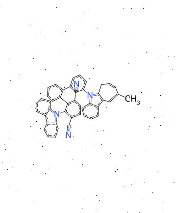 CC1=Cc2c(n(-c3cccc(-c4ccccc4-c4c(C#N)ccc(C#N)c4-n4c5ccccc5c5ccccc54)c3)c3ccccc23)CC=C1